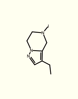 CCc1cnn2c1CN(I)CC2